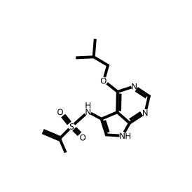 C=C(C)S(=O)(=O)Nc1c[nH]c2ncnc(OCC(C)C)c12